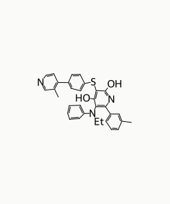 CCN(c1ccccc1)c1c(-c2cccc(C)c2)nc(O)c(Sc2ccc(-c3ccncc3C)cc2)c1O